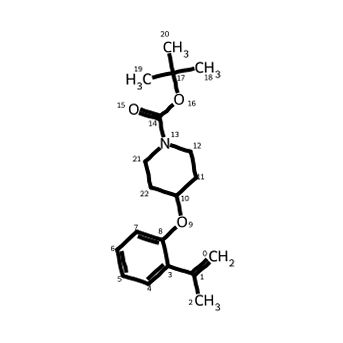 C=C(C)c1ccccc1OC1CCN(C(=O)OC(C)(C)C)CC1